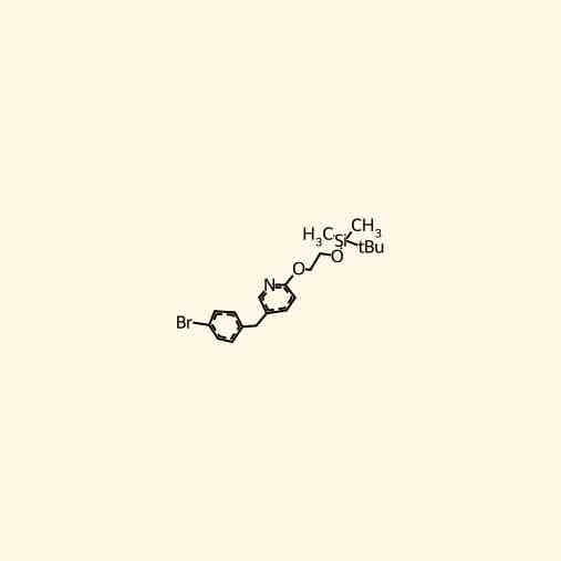 CC(C)(C)[Si](C)(C)OCCOc1ccc(Cc2ccc(Br)cc2)cn1